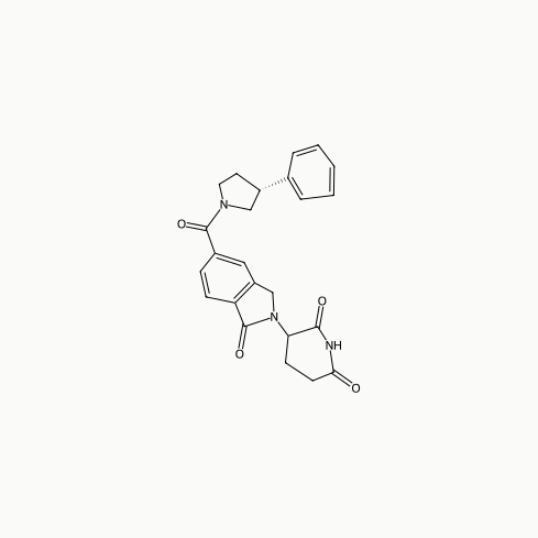 O=C1CCC(N2Cc3cc(C(=O)N4CC[C@H](c5ccccc5)C4)ccc3C2=O)C(=O)N1